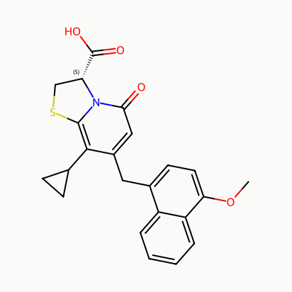 COc1ccc(Cc2cc(=O)n3c(c2C2CC2)SC[C@@H]3C(=O)O)c2ccccc12